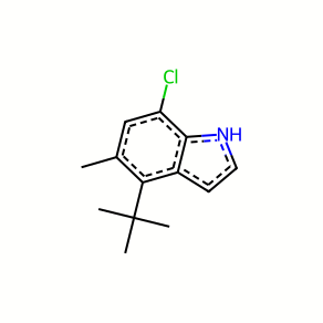 Cc1cc(Cl)c2[nH]ccc2c1C(C)(C)C